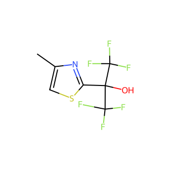 Cc1csc(C(O)(C(F)(F)F)C(F)(F)F)n1